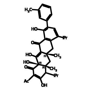 CC(=O)C1=C(O)C(C(C)C)[C@@]2(C)C[C@@]3(C)Cc4c(C(C)C)cc(-c5cccc(C)c5)c(O)c4C(=O)C3=C(O)[C@@]2(O)C1=O